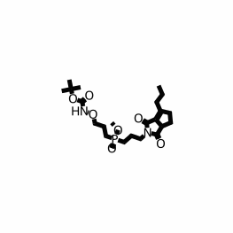 CCCC1=C2C(=O)N(CCCP(=O)(CCCONC(=O)OC(C)(C)C)OC)C(=O)C2CC1